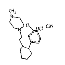 CN1CCN(CCC2CCCCC2c2cccc(Cl)c2)CC1.Cl.Cl